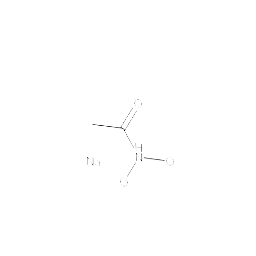 CC(=O)[NH+]([O-])[O-].[Na+]